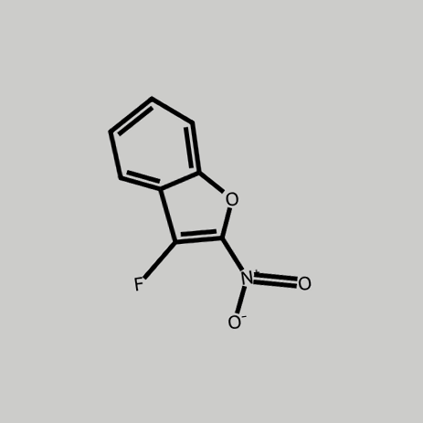 O=[N+]([O-])c1oc2ccccc2c1F